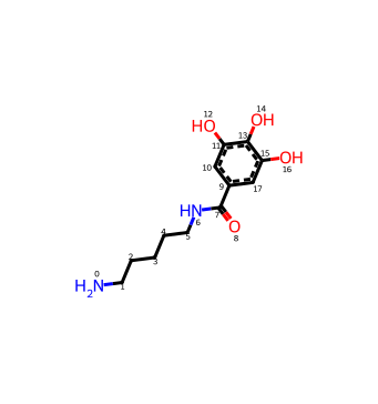 NCCCCCNC(=O)c1cc(O)c(O)c(O)c1